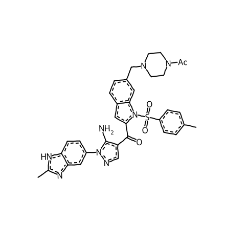 CC(=O)N1CCN(Cc2ccc3cc(C(=O)c4cnn(-c5ccc6[nH]c(C)nc6c5)c4N)n(S(=O)(=O)c4ccc(C)cc4)c3c2)CC1